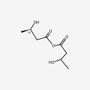 CC(O)CC(=O)OC(=O)C[C@@H](C)O